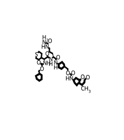 Cc1cc(=O)oc2cc(NC(=O)OCc3ccc(NC(=O)[C@H](CCCNC(N)=O)NC(=O)[C@@H](NC(=O)OCc4ccccc4)C4CCSCC4)cc3)ccc12